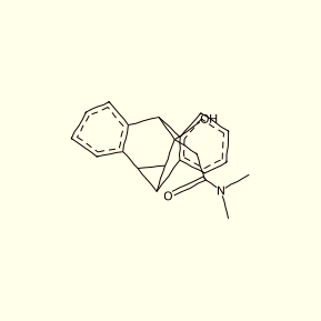 CN(C)C(=O)CC1(O)C2c3ccccc3C3C(c4ccccc42)C31